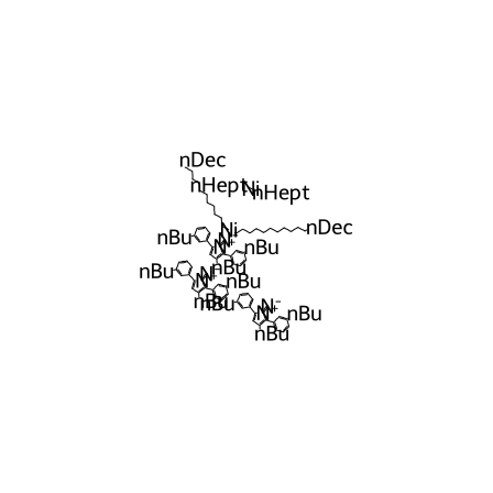 CCCCC1=C(c2cccc(CCCC)c2)[N+](=[N-])C(c2cccc(CCCC)c2)=C1.CCCCC1=C(c2cccc(CCCC)c2)[N+](=[N-])C(c2cccc(CCCC)c2)=C1.CCCCC1=C(c2cccc(CCCC)c2)[N+](=[N-])C(c2cccc(CCCC)c2)=C1.CCCCCCCCCCCCCCCCCCCC[CH2][Ni][CH2]CCCCCCCCCCCCCCCCCCCC.CCCCCC[CH2][Ni][CH2]CCCCCC